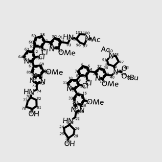 COc1nc(-c2cccc(-c3ccnc(-c4cc(OC)c5nc(CNC6CCC(O)CC6)nn5c4)c3Cl)c2Cl)ccc1CN(C(=O)OC(C)(C)C)C1CCN(C(C)=O)CC1.COc1nc(-c2cccc(-c3ccnc(-c4cc(OC)c5nc(CNC6CCC(O)CC6)nn5c4)c3Cl)c2Cl)ccc1CNC1CCN(C(C)=O)CC1